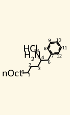 CCCCCCCCCCCC(N)Cc1ccccc1.Cl